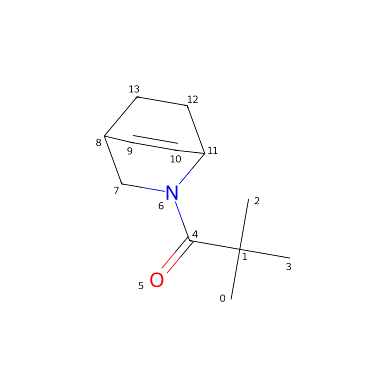 CC(C)(C)C(=O)N1CC2C=CC1CC2